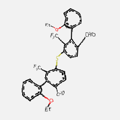 CCOc1ccccc1-c1c(C=O)ccc(Sc2ccc(C=O)c(-c3ccccc3OCC)c2C(F)(F)F)c1C(F)(F)F